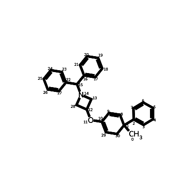 CC1(c2ccccc2)C=CC(OC2CN(C(c3ccccc3)c3ccccc3)C2)=CC1